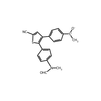 CN(C=O)c1ccc(-c2sc(C#N)cc2-c2ccc([S+](C)[O-])cc2)cc1